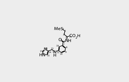 CSCCC(NC(=O)c1cccc(NCc2c[nH]cn2)c1)C(=O)O